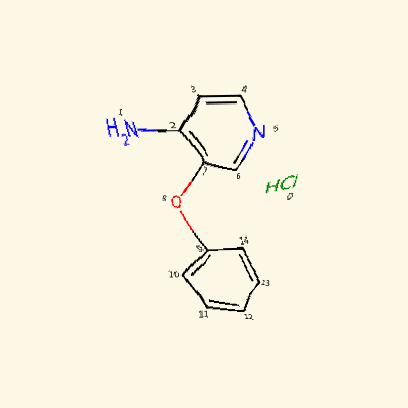 Cl.Nc1ccncc1Oc1ccccc1